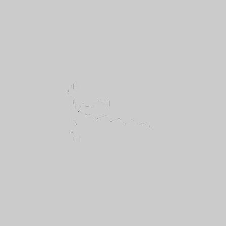 OCCOC(CCCCCCCCCCS)(OCCO)OCCO